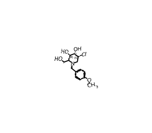 COc1ccc(CN2C[C@H](Cl)[C@@H](O)[C@H](O)C2CO)cc1